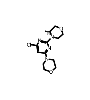 C[C@H]1COCCN1c1nc(Cl)cc(N2CCOCC2)n1